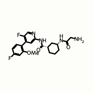 COc1cc(F)ccc1-c1cc(NC(=O)[C@H]2CCC[C@@H](NC(=O)CN)C2)ncc1F